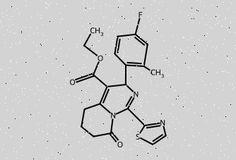 CCOC(=O)C1=C2CCCC(=O)N2C(c2nccs2)=NC1c1ccc(F)cc1C